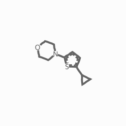 c1cc(N2CCOCC2)sc1C1CC1